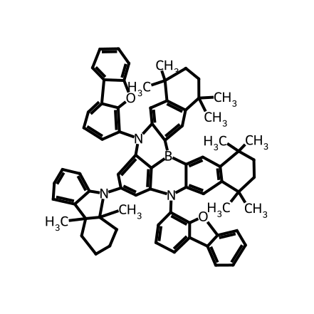 CC1(C)CCC(C)(C)c2cc3c(cc21)B1c2cc4c(cc2N(c2cccc5c2oc2ccccc25)c2cc(N5c6ccccc6C6(C)CCCCC56C)cc(c21)N3c1cccc2c1oc1ccccc12)C(C)(C)CCC4(C)C